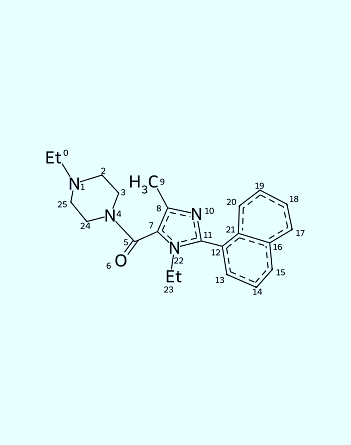 CCN1CCN(C(=O)c2c(C)nc(-c3cccc4ccccc34)n2CC)CC1